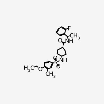 CCOc1ccc(S(=O)(=O)N[C@H]2CC[C@H](C(=O)N[C@H](C)c3ccccc3F)CC2)cc1C